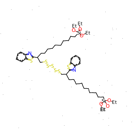 CCO[Si](CCCCCCCCCCC(CSSSSSCC(CCCCCCCCCC[Si](OCC)(OCC)OCC)c1nc2ccccc2s1)c1nc2ccccc2s1)(OCC)OCC